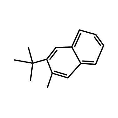 Cc1cc2ccccc2cc1C(C)(C)C